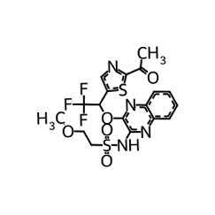 COCCS(=O)(=O)Nc1nc2ccccc2nc1OC(c1cnc(C(C)=O)s1)C(F)(F)F